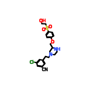 N#Cc1cc(Cl)cc(CCN2CCNC(COc3ccc(S(=O)(=O)CCO)cc3)C2)c1